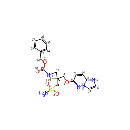 NS(=O)(=O)CC1(COc2ccc3nccn3n2)CN(C(=O)OCc2ccccc2)C1